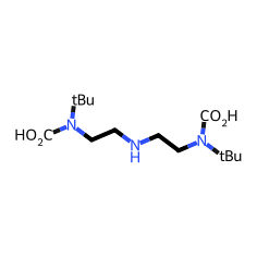 CC(C)(C)N(CCNCCN(C(=O)O)C(C)(C)C)C(=O)O